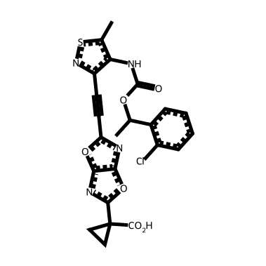 Cc1snc(C#Cc2nc3oc(C4(C(=O)O)CC4)nc3o2)c1NC(=O)OC(C)c1ccccc1Cl